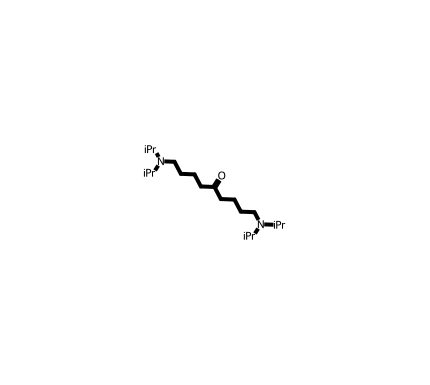 CC(C)N(CCCCC(=O)CCCCN(C(C)C)C(C)C)C(C)C